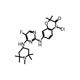 CCN1C(=O)C(C)(C)Oc2cc(Nc3ncc(F)c(NC4CC(C)(C)N(C)C(C)(C)C4)n3)ccc21